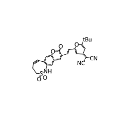 CC(C)(C)C1=CC(=C(C#N)C#N)C=C(/C=C/c2cc3cc4c(cc3oc2=O)C#CCCS(=O)(=O)N4)O1